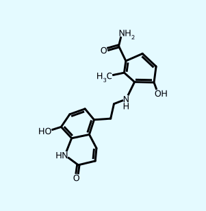 Cc1c(C(N)=O)ccc(O)c1NCCc1ccc(O)c2[nH]c(=O)ccc12